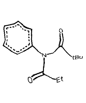 CCC(=O)N(C(=O)C(C)(C)C)c1ccccc1